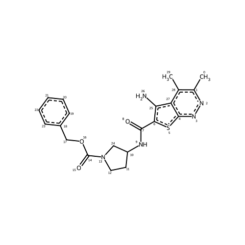 Cc1nnc2sc(C(=O)NC3CCN(C(=O)OCc4ccccc4)C3)c(N)c2c1C